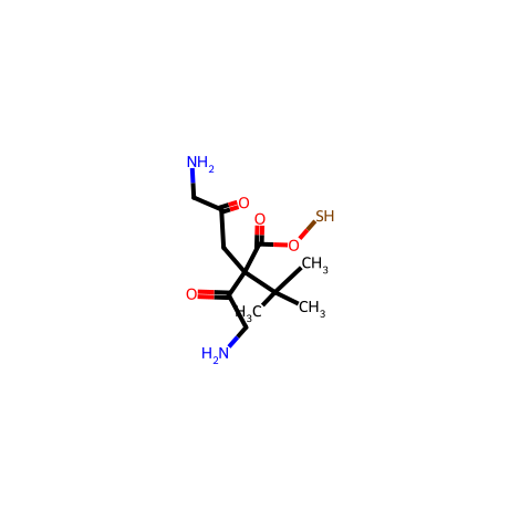 CC(C)(C)C(CC(=O)CN)(C(=O)CN)C(=O)OS